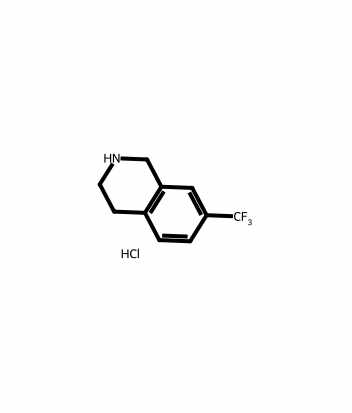 Cl.FC(F)(F)c1ccc2c(c1)CNCC2